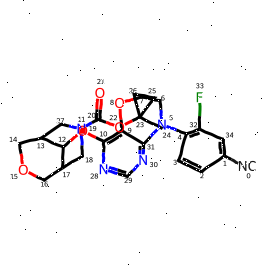 [C-]#[N+]c1ccc(N2CCOc3c(OC4C5COCC4CN(C(=O)OC4(C)CC4)C5)ncnc32)c(F)c1